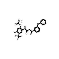 Cc1cc(OC(N)=O)c(NC(=O)CC(=O)c2cccc(Oc3ccccc3)c2)cc1C(F)(F)F